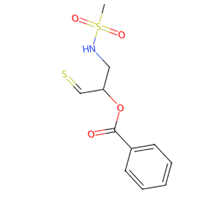 CS(=O)(=O)NCC(C=S)OC(=O)c1ccccc1